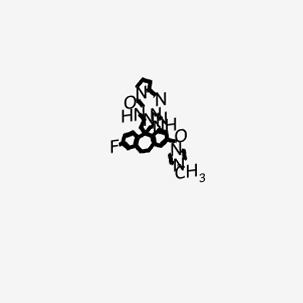 CN1CCN(C(=O)c2ccc3c(c2)CCc2cc(F)ccc2C3(CCNCC(=O)N2CCCC2C#N)c2nnn[nH]2)CC1